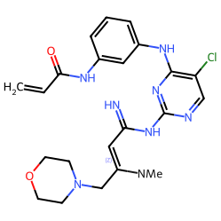 C=CC(=O)Nc1cccc(Nc2nc(NC(=N)/C=C(/CN3CCOCC3)NC)ncc2Cl)c1